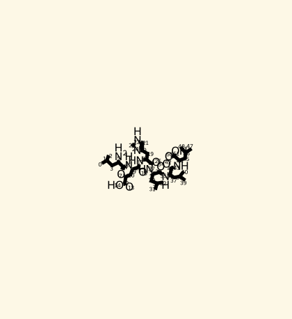 CC(C)CC(N)C(=O)NC(CCC(=O)O)C(=O)NC(Cc1c[nH]cn1)C(=O)NC(CC(C)C)C(=O)NC(CC(C)C)C(=O)NC(CC(C)C)C(=O)O